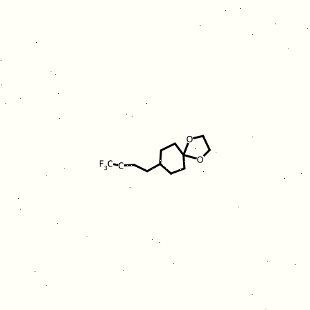 FC(F)(F)CCCC1CCC2(CC1)OCCO2